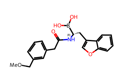 COCc1cccc(CC(=O)N[C@@H](Cc2coc3ccccc23)B(O)O)c1